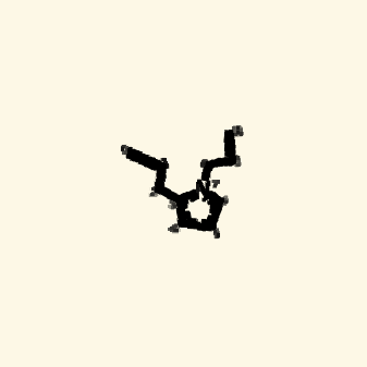 C=CCc1cccn1CC=C